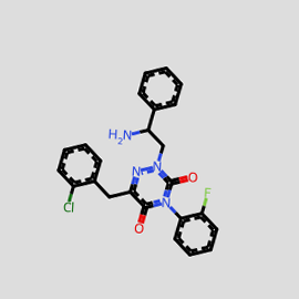 NC(Cn1nc(Cc2ccccc2Cl)c(=O)n(-c2ccccc2F)c1=O)c1ccccc1